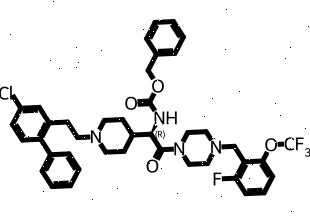 O=C(N[C@@H](C(=O)N1CCN(Cc2c(F)cccc2OC(F)(F)F)CC1)C1CCN(CCc2cc(Cl)ccc2-c2ccccc2)CC1)OCc1ccccc1